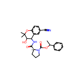 CC(OC(=O)N1CCC[C@H]1C(=O)NC1c2cc(C#N)ccc2OC(C)(C)C1O)c1ccccc1